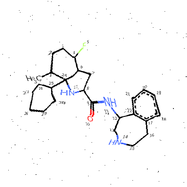 CC1CCC(F)C2CC(C(=O)NC3CNCCc4ccccc43)NC12C1CCCCC1